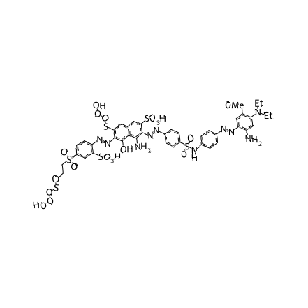 CCN(CC)c1cc(N)c(/N=N/c2ccc(NS(=O)(=O)c3ccc(/N=N/c4c(S(=O)(=O)O)cc5cc(SOOO)c(/N=N/c6ccc(S(=O)(=O)CCOSOOO)cc6S(=O)(=O)O)c(O)c5c4N)cc3)cc2)cc1OC